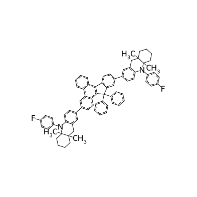 CC12CCCCC1(C)N(c1ccc(F)cc1)c1ccc(-c3ccc4c(c3)C(c3ccccc3)(c3ccccc3)c3c-4c4ccccc4c4cc(-c5ccc6c(c5)CC5(C)CCCCC5(C)N6c5ccc(F)cc5)ccc34)cc1C2